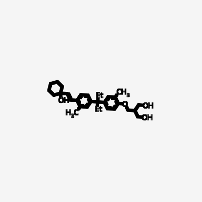 CCC(CC)(c1ccc(C=CC2(O)CCCCC2)c(C)c1)c1ccc(OCC(CO)CO)c(C)c1